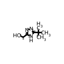 CC(C)(C)c1nnc(CO)[nH]1